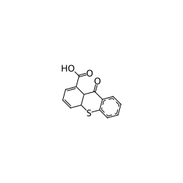 O=C(O)C1=CC=CC2Sc3ccccc3C(=O)C12